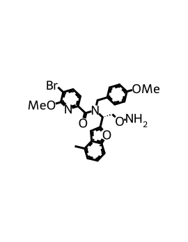 COc1ccc(CN(C(=O)c2ccc(Br)c(OC)n2)[C@H](CON)c2cc3c(C)cccc3o2)cc1